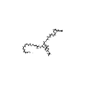 CCCCC/C=C\C/C=C\C/C=C\CCCCCCC(=O)OC[C@H](COP(=O)([O-])OCC[N+](C)(C)C)OC(=O)CCCCCC/C=C\C/C=C\C/C=C\CCCCC